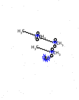 CCCCCCCCCCCC[n+]1c(-c2ccccc2)n(C)c2ccccc21.CCCCCCCCCCCC[n+]1c(-c2ccccc2)n(C)c2ccccc21.CCCCCCCCCCCC[n+]1c(-c2ccccc2)n(C)c2ccccc21.N#[C][Fe-3]([C]#N)([C]#N)([C]#N)([C]#N)[C]#N